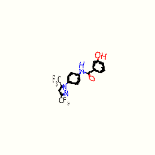 O=C(Nc1ccc(-n2nc(C(F)(F)F)cc2C(F)(F)F)cc1)c1cccc(O)c1